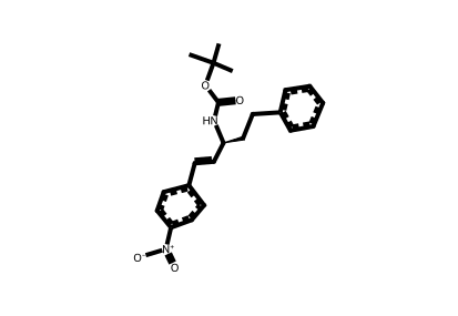 CC(C)(C)OC(=O)N[C@H](C=Cc1ccc([N+](=O)[O-])cc1)CCc1ccccc1